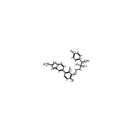 Nc1nc2cc(-c3ccc(F)c(OCCC(F)(F)C(O)c4ccc(F)cc4)c3F)ccn2n1